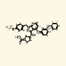 COc1ccc(Cn2nc(NC3CCN(C(=O)O)C3)c3c(Oc4cccc(Oc5ccccc5)c4)ccnc32)cc1